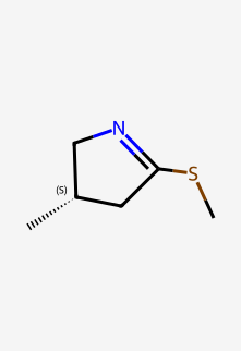 CSC1=NC[C@@H](C)C1